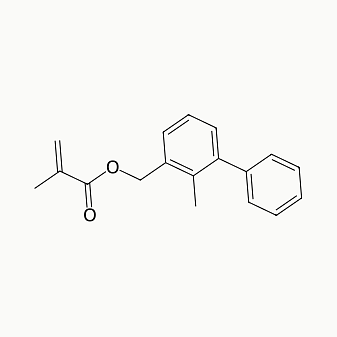 C=C(C)C(=O)OCc1cccc(-c2ccccc2)c1C